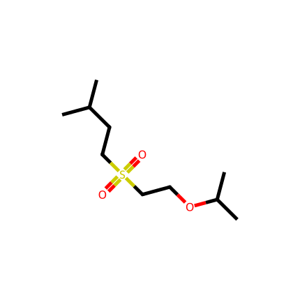 CC(C)CCS(=O)(=O)CCOC(C)C